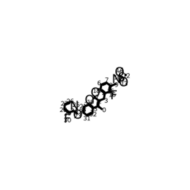 Cc1c(Cc2cccc(C=NS(C)(=O)=O)c2F)c(=O)oc2cc(Oc3ncccc3F)ccc12